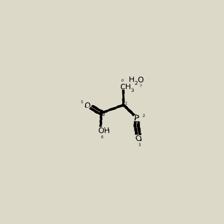 CC(P=O)C(=O)O.O